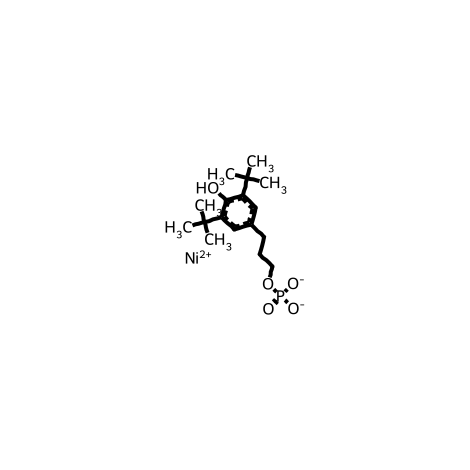 CC(C)(C)c1cc(CCCOP(=O)([O-])[O-])cc(C(C)(C)C)c1O.[Ni+2]